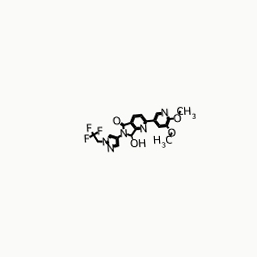 COc1cc(-c2ccc3c(n2)[C@@H](O)N(c2cnn(CC(F)(F)F)c2)C3=O)cnc1OC